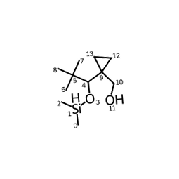 C[SiH](C)OC(C(C)(C)C)C1(CO)CC1